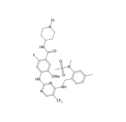 CCN1CCC(NC(=O)c2cc(OC)c(Nc3ncc(C(F)(F)F)c(NCc4ccc(C)cc4N(C)S(C)(=O)=O)n3)cc2F)CC1